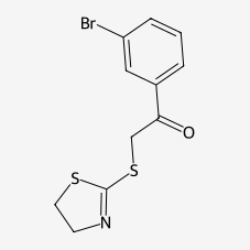 O=C(CSC1=NCCS1)c1cccc(Br)c1